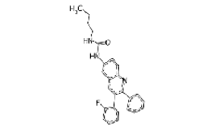 CCCCNC(=O)Nc1ccc2nc(-c3ccccc3)c(-c3ccccc3F)cc2c1